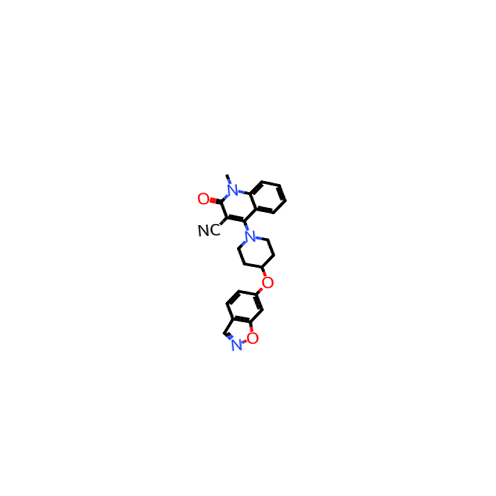 Cn1c(=O)c(C#N)c(N2CCC(Oc3ccc4cnoc4c3)CC2)c2ccccc21